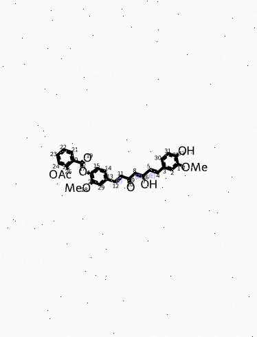 COc1cc(/C=C/C(O)=C/C(=O)/C=C/c2ccc(OC(=O)c3ccccc3OC(C)=O)c(OC)c2)ccc1O